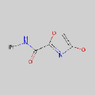 CC(C)NC(=O)c1nc([O])co1